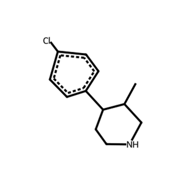 CC1CNCCC1c1ccc(Cl)cc1